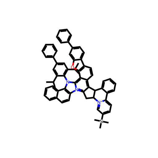 CC(C)c1cc(-c2ccccc2)cc(C(C)C)c1-n1c2c3ccccc3ccc2[n+]2c3c(c4ccc5c6ccc(-c7ccccc7)cc6oc5c4c12)C1c2ccccc2-c2ccc([Si](C)(C)C)c[n+]2C1C3